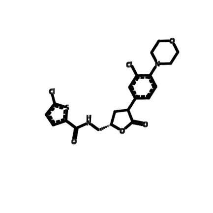 O=C(NC[C@@H]1CC(c2ccc(N3CCOCC3)c(Cl)c2)C(=O)O1)c1ccc(Cl)s1